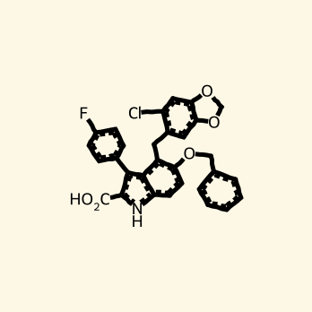 O=C(O)c1[nH]c2ccc(OCc3ccccc3)c(Cc3cc4c(cc3Cl)OCO4)c2c1-c1ccc(F)cc1